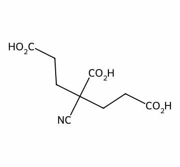 N#CC(CCC(=O)O)(CCC(=O)O)C(=O)O